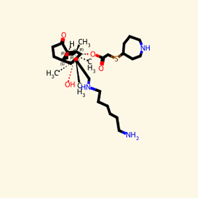 C[C@@H]1CC[C@@]23CCC(=O)[C@H]2[C@]1(C)[C@H](OC(=O)CSC1CCCNCC1)C[C@](C)(CNCCCCCCN)[C@@H](O)[C@@H]3C